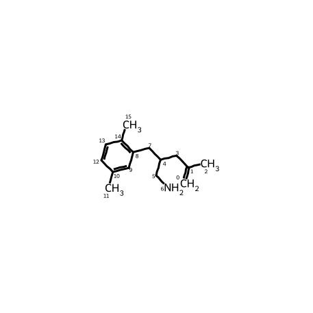 C=C(C)CC(CN)Cc1cc(C)ccc1C